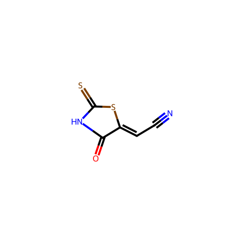 N#CC=C1SC(=S)NC1=O